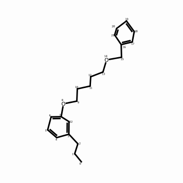 C[CH]Cc1cccc(OCCCCCOCc2ccccc2)c1